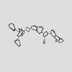 N#Cc1cc(-c2ccc3ccc(-c4ccc(-c5nc(-c6ccccc6)cc(-c6ccccc6)n5)cc4)cc3c2)cc(-c2cccc3c2sc2ccccc23)c1